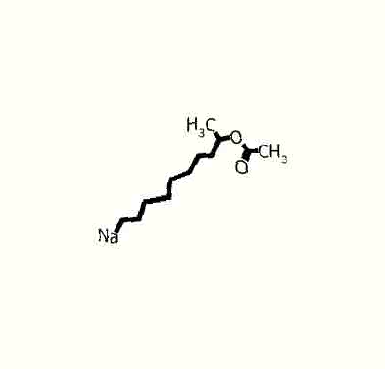 CC(=O)OC(C)CCCCCCC[CH2][Na]